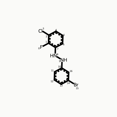 Fc1c(Cl)cccc1NNc1cccc(Br)c1